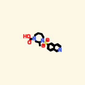 CC1CN(C(=O)O)CCCCN1S(=O)(=O)c1ccc2cnccc2c1